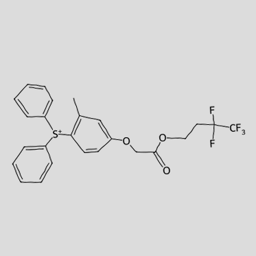 Cc1cc(OCC(=O)OCCC(F)(F)C(F)(F)F)ccc1[S+](c1ccccc1)c1ccccc1